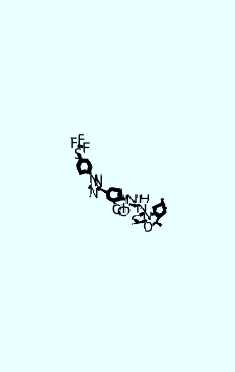 Cc1ccc(C(C)C)c(N2C(=O)CSC2=NC(=O)Nc2ccc(-c3ncn(-c4ccc(SC(F)(F)F)cc4)n3)cc2Cl)c1